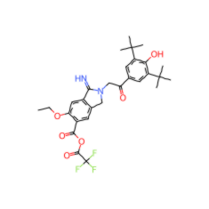 CCOc1cc2c(cc1C(=O)OC(=O)C(F)(F)F)CN(CC(=O)c1cc(C(C)(C)C)c(O)c(C(C)(C)C)c1)C2=N